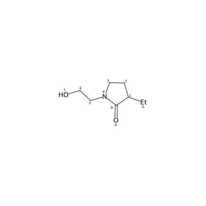 CCC1CCN(CCO)C1=O